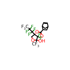 O=C(OC1(C(F)(F)C(F)(F)C(F)(F)F)COC(O)(C(F)(F)F)C1(F)F)C1CC2C=CC1C2